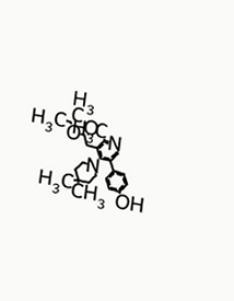 Cc1ncc(-c2ccc(O)cc2)c(N2CCC(C)(C)CC2)c1CC(=O)OC(C)C